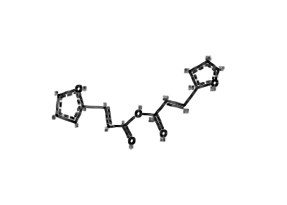 O=C(C=Cc1ccco1)OC(=O)C=Cc1ccco1